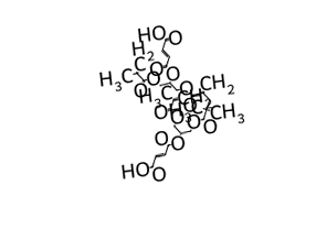 C=C(C)C(=O)OCC(COC(=O)C(=C)CC(C)(C)C(=O)OCC(COC(=O)C(=C)C)OC(=O)/C=C/C(=O)O)OC(=O)/C=C/C(=O)O